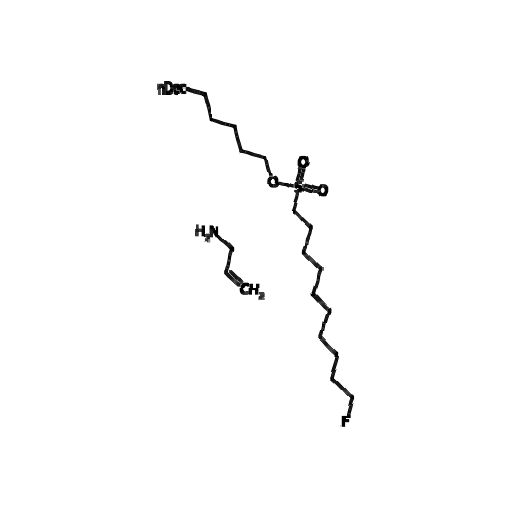 C=CCN.CCCCCCCCCCCCCCCOS(=O)(=O)CCCCCCCCCCF